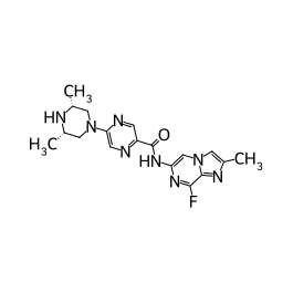 Cc1cn2cc(NC(=O)c3cnc(N4C[C@@H](C)N[C@@H](C)C4)cn3)nc(F)c2n1